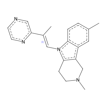 C/C(=C\n1c2c(c3cc(C)ccc31)CN(C)CC2)c1cnccn1